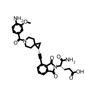 COc1cc(C(=O)N2CCC3(CC2)C[C@@H]3C#Cc2cccc3c2C(=O)N([C@@H](CCC(=O)O)C(N)=O)C3=O)ccc1N